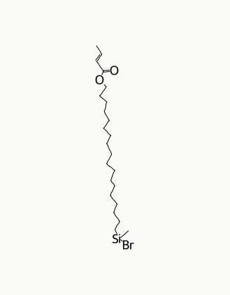 CC=CC(=O)OCCCCCCCCCCCCCCCCCC[Si](C)(C)Br